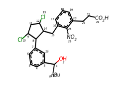 CCCCC(O)c1cccc(C2C(Cl)CC(Cl)C2Cc2cccc(CCC(=O)O)c2[N+](=O)[O-])c1